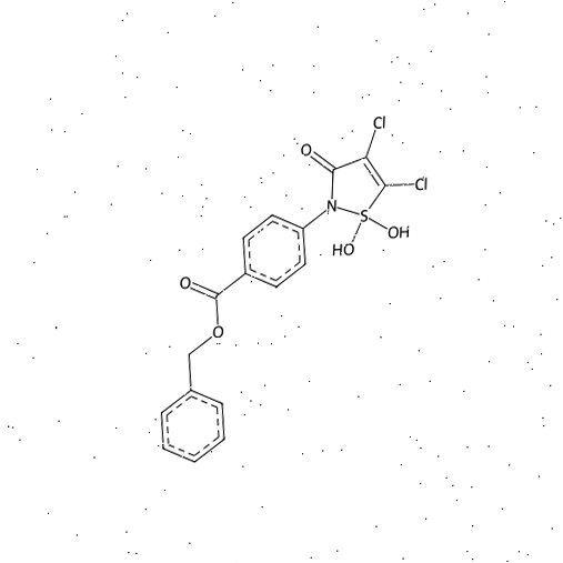 O=C(OCc1ccccc1)c1ccc(N2C(=O)C(Cl)=C(Cl)S2(O)O)cc1